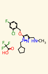 CNCc1cc(OCc2ccc(F)cc2Cl)n(CC2CCCC2)n1.O=C(O)C(F)(F)F